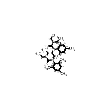 CCN(CC)C(=S)N(CCN(C(=S)N(CC)CC)c1c(C)cc(C)cc1C)c1c(C)cc(C)cc1C